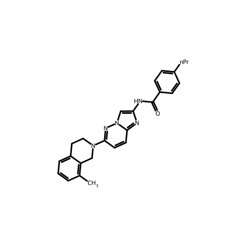 CCCc1ccc(C(=O)Nc2cn3nc(N4CCc5cccc(C)c5C4)ccc3n2)cc1